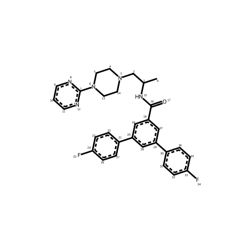 CC(CN1CCN(c2ncccn2)CC1)NC(=O)c1cc(-c2ccc(F)cc2)cc(-c2ccc(F)cc2)c1